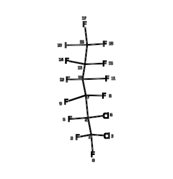 FC(F)(Cl)C(F)(Cl)C(F)(F)C(F)(F)C(F)(F)C(F)(F)I